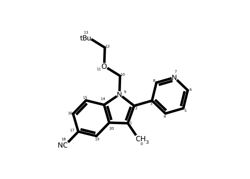 Cc1c(-c2cccnc2)n(COCC(C)(C)C)c2ccc(C#N)cc12